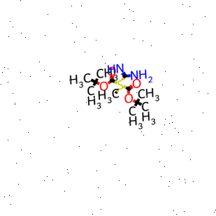 CC(C)(C)OC(=O)S(C)(C(=N)N)C(=O)OC(C)(C)C